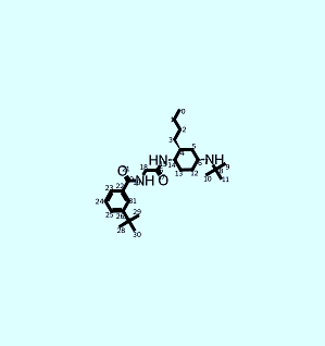 CCCC[C@H]1C[C@H](NC(C)(C)C)CC[C@@H]1NC(=O)CNC(=O)c1cccc(C(C)(C)C)c1